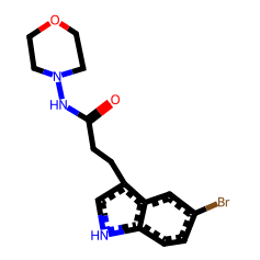 O=C(CCc1c[nH]c2ccc(Br)cc12)NN1CCOCC1